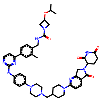 Cc1cc(-c2ccnc(Nc3ccc(N4CCN(CC5CCN(c6ccc7c(n6)CN(C6CCC(=O)NC6=O)C7=O)CC5)CC4)cc3)n2)ccc1CNC(=O)N1CC(OC(C)C)C1